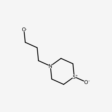 [O]CCCN1CC[S+]([O-])CC1